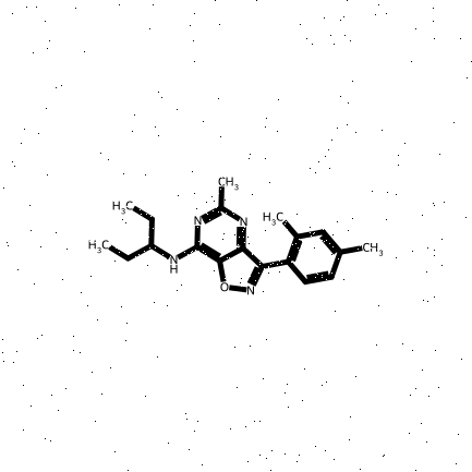 CCC(CC)Nc1nc(C)nc2c(-c3ccc(C)cc3C)noc12